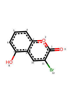 O=c1oc2cccc(O)c2cc1Br